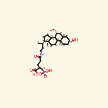 CC(CCNC(=O)CCC(CP(=O)(O)O)C(=O)O)[C@H]1CCC2C3C(CC[C@@]21C)[C@@]1(C)CC[C@@H](O)CC1C[C@@H]3O